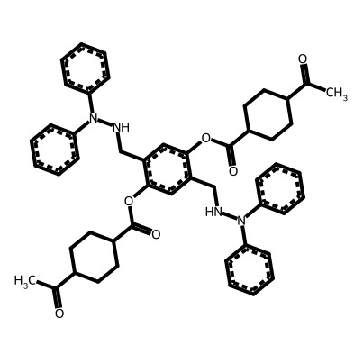 CC(=O)C1CCC(C(=O)Oc2cc(CNN(c3ccccc3)c3ccccc3)c(OC(=O)C3CCC(C(C)=O)CC3)cc2CNN(c2ccccc2)c2ccccc2)CC1